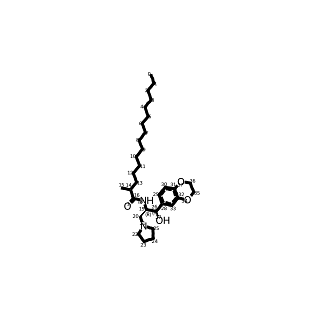 CCCCCCCCCCCCCCC(C)C(=O)N[C@H](CN1CCCC1)[C@H](O)c1ccc2c(c1)OCCO2